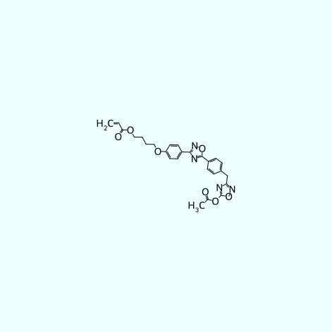 C=CC(=O)OCCCCOc1ccc(-c2noc(-c3ccc(Cc4noc(OC(C)=O)n4)cc3)n2)cc1